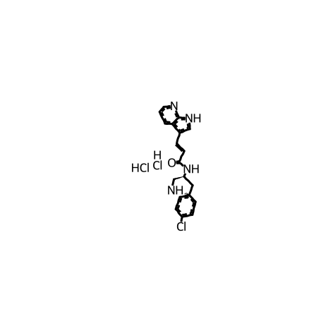 Cl.Cl.NC[C@H](Cc1ccc(Cl)cc1)NC(=O)C=Cc1c[nH]c2ncccc12